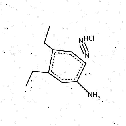 CCc1ccc(N)cc1CC.Cl.N#N